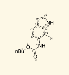 CCCCOC(=O)Nc1ccc2cc[nH]c2c1C